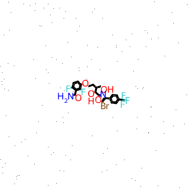 NC(=O)c1c(F)ccc(OCCC(CO)C(O)c2nc(-c3ccc(C(F)(F)F)cc3)c(Br)o2)c1F